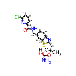 CC(C)(Cc1nc2ccc(CNC(=O)c3cccc(Cl)n3)cc2s1)OC(N)=O